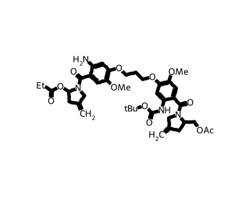 C=C1CC(COC(C)=O)N(C(=O)c2cc(OC)c(OCCCOc3cc(N)c(C(=O)N4CC(=C)CC4OC(=O)CC)cc3OC)cc2NC(=O)OC(C)(C)C)C1